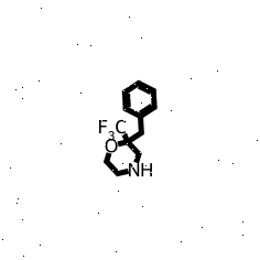 FC(F)(F)C1(Cc2ccccc2)CNCCO1